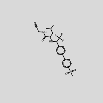 CC(C)CC(NC(c1ccc(-c2ccc(S(C)(=O)=O)cc2)cc1)C(F)(F)F)C(=O)NCC#N